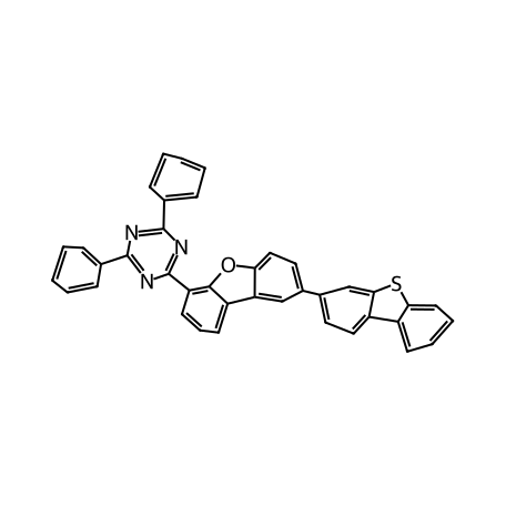 c1ccc(-c2nc(-c3ccccc3)nc(-c3cccc4c3oc3ccc(-c5ccc6c(c5)sc5ccccc56)cc34)n2)cc1